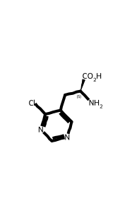 N[C@@H](Cc1cncnc1Cl)C(=O)O